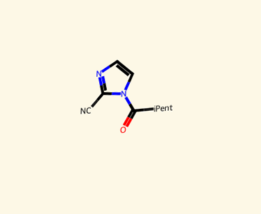 CCCC(C)C(=O)n1ccnc1C#N